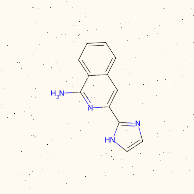 Nc1nc(-c2ncc[nH]2)cc2ccccc12